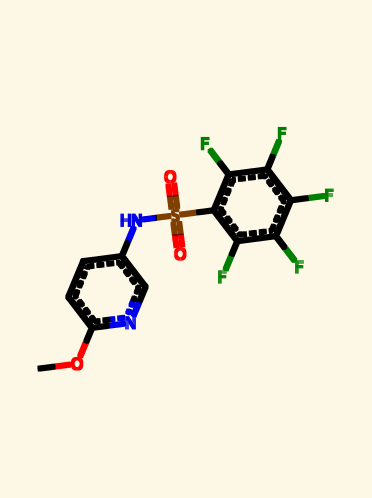 COc1ccc(NS(=O)(=O)c2c(F)c(F)c(F)c(F)c2F)cn1